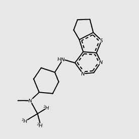 [2H]C([2H])([2H])N(C)C1CCC(Nc2ncnc3sc4c(c23)CCC4)CC1